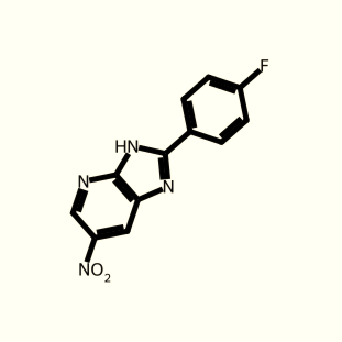 O=[N+]([O-])c1cnc2[nH]c(-c3ccc(F)cc3)nc2c1